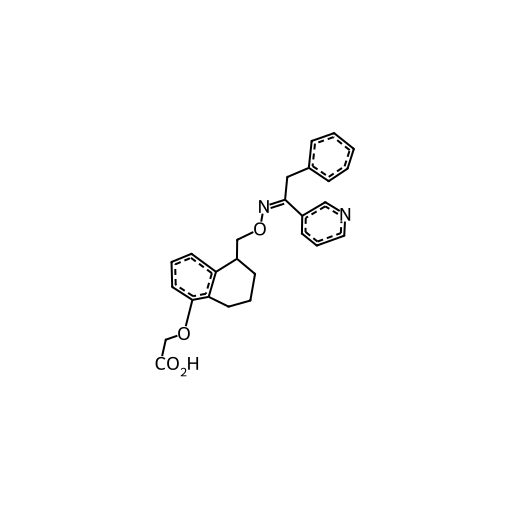 O=C(O)COc1cccc2c1CCCC2CON=C(Cc1ccccc1)c1cccnc1